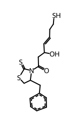 O=C(CC(O)/C=C/CCS)N1C(=S)SCC1Cc1ccccc1